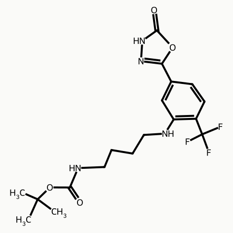 CC(C)(C)OC(=O)NCCCCNc1cc(-c2n[nH]c(=O)o2)ccc1C(F)(F)F